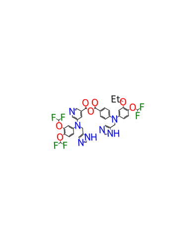 CCOc1cc(N(Cc2cnc[nH]2)c2ccc(C(=O)OC(=O)c3cncc(N(Cc4cnc[nH]4)c4ccc(OC(F)F)c(OC(F)F)c4)c3)cc2)ccc1OC(F)F